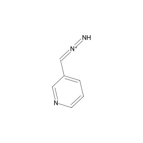 N=[N+]=Cc1cccnc1